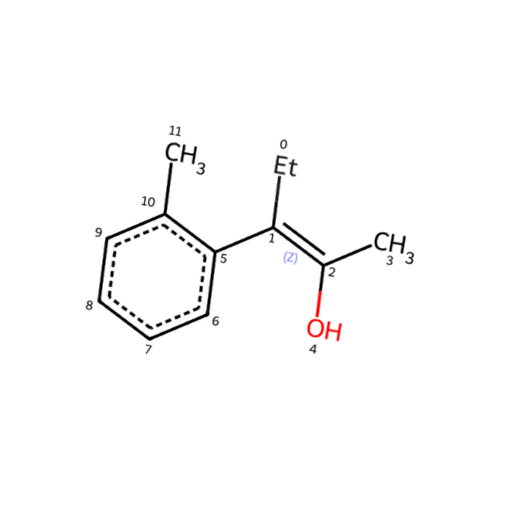 CC/C(=C(\C)O)c1ccccc1C